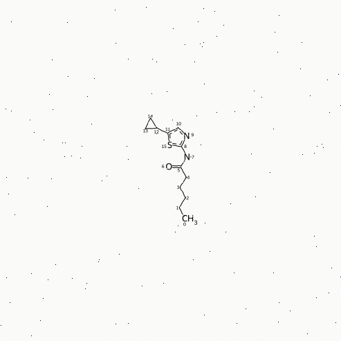 CCCCCC(=O)[N]c1ncc(C2CC2)s1